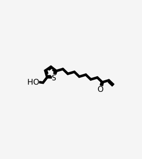 C=CC(=O)CCCCCCCc1ccc(CO)s1